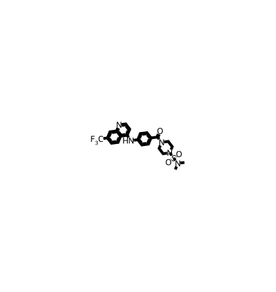 CN(C)S(=O)(=O)N1CCN(C(=O)c2ccc(Nc3ccnc4cc(C(F)(F)F)ccc34)cc2)CC1